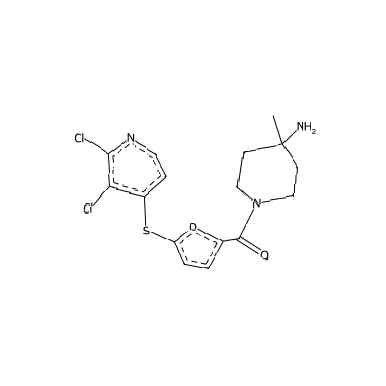 CC1(N)CCN(C(=O)c2ccc(Sc3ccnc(Cl)c3Cl)o2)CC1